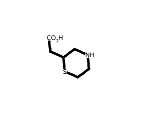 O=C(O)CC1CNCCS1